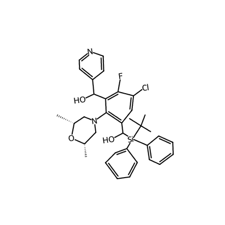 C[C@@H]1CN(c2c(C(O)[Si](c3ccccc3)(c3ccccc3)C(C)(C)C)cc(Cl)c(F)c2C(O)c2ccncc2)C[C@H](C)O1